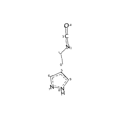 CCN=C=O.c1cn[nH]c1